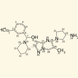 C#Cc1cccc(C(O)N2CCCC[C@H]2c2cc3nc(N4CC[C@H](N)C4)c(C)cn3n2)c1